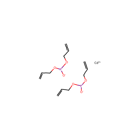 C=CCOP([O-])OCC=C.C=CCOP([O-])OCC=C.[Cd+2]